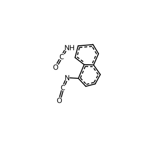 N=C=O.O=C=Nc1cccc2ccccc12